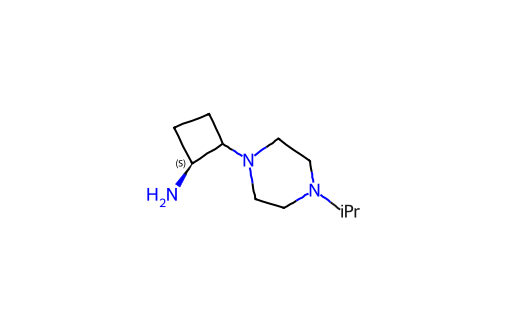 CC(C)N1CCN(C2CC[C@@H]2N)CC1